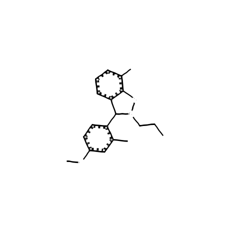 CCCN1Nc2c(Cl)cccc2C1c1ccc(OC)cc1C